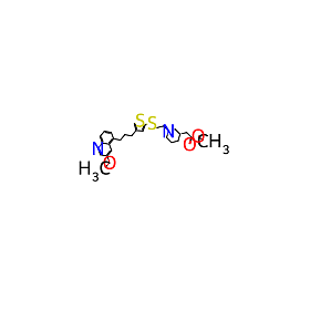 COC(=O)C[C@H]1CCCN(CCSc2cc(CCCc3cccc4ncc(OC)cc34)cs2)C1